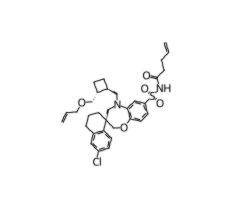 C=CCCC(=O)NS(=O)(=O)c1ccc2c(c1)N(C[C@@H]1CC[C@H]1COCC=C)C[C@@]1(CCCc3cc(Cl)ccc31)CO2